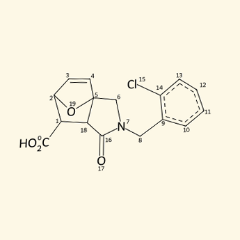 O=C(O)C1C2C=CC3(CN(Cc4ccccc4Cl)C(=O)C13)O2